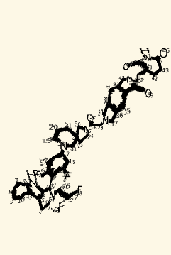 C[C@@H]1Cc2c([nH]c3ccccc23)[C@@H](c2c(F)cc(N3CCCC4(CCN(C(=O)CN5Cc6cc7c(cc6C5)C(=O)N(C5CCC(=O)NC5=O)C7)C4)C3)cc2F)N1CC(F)F